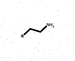 [B]CCN